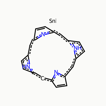 C1=Cc2cc3ccc(cc4nc(cc5ccc(cc1n2)[nH]5)C=C4)[nH]3.[Sn]